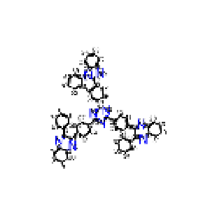 c1ccc(-c2nc3ccccc3nc2-c2ccc(-c3nc(-c4ccc(-c5nc6ccccc6nc5-c5ccccc5)cc4)nc(-c4ccc(-c5nc6ccccc6n5-c5ccccc5)cc4)n3)cc2)cc1